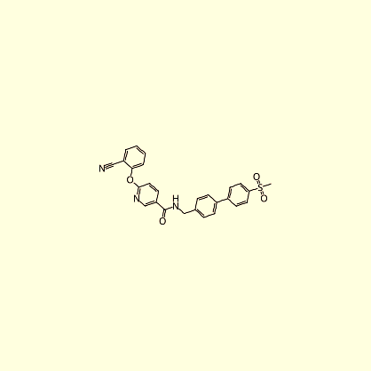 CS(=O)(=O)c1ccc(-c2ccc(CNC(=O)c3ccc(Oc4ccccc4C#N)nc3)cc2)cc1